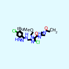 C=CC(=O)N1CC(NC(=O)c2c(Cl)nc(CNc3n[nH]c4cc(Cl)c(C(C)(C)C)cc34)n2CCOC)C1